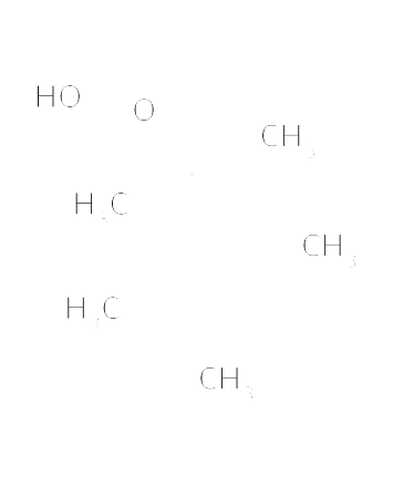 CC(C)=C(C)C(C)(C)OO